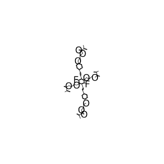 C=C(C)C(=C)OCCOc1c(F)c(C#Cc2ccc(OCCOC(=O)C(=C)C)cc2)c(OCCOC(=C)C(=C)C)c(F)c1C#Cc1ccc(OCCOC(=O)C(=C)C)cc1